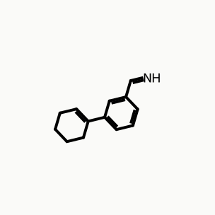 N=Cc1cccc(C2=CCCCC2)c1